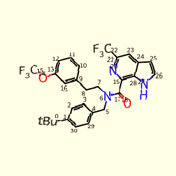 CC(C)(C)c1ccc(CN(CCc2cccc(OC(F)(F)F)c2)C(=O)c2nc(C(F)(F)F)cc3cc[nH]c23)cc1